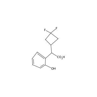 O=C(O)C(c1ccccc1O)C1CC(F)(F)C1